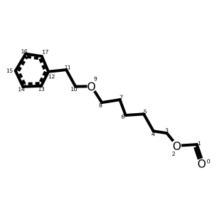 O=[C]OCCCCCCOCCc1ccccc1